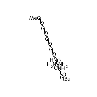 COCCOCCOCCOCCOCCOCCOCCOCCNC(=O)[C@@H](N)[C@H](N)C(=O)NCCCC(=O)OC(C)(C)C